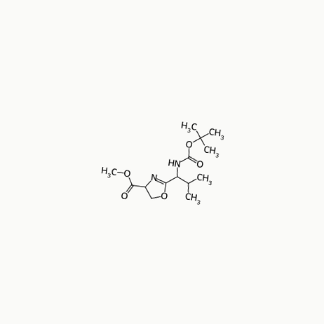 COC(=O)C1COC(C(NC(=O)OC(C)(C)C)C(C)C)=N1